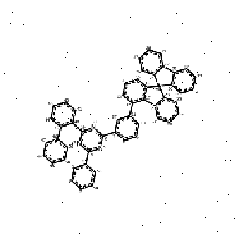 c1ccc(-c2nc(-c3cccc(-c4cccc5c4-c4ccccc4C54c5ccccc5-c5ccccc54)c3)nc(-c3ccccc3-c3ccccc3)n2)cc1